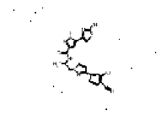 Cc1nc(-c2cc(C(=O)NC(C)Cn3ccc(-c4ccc(C#N)c(Cl)c4)n3)n[nH]2)cs1